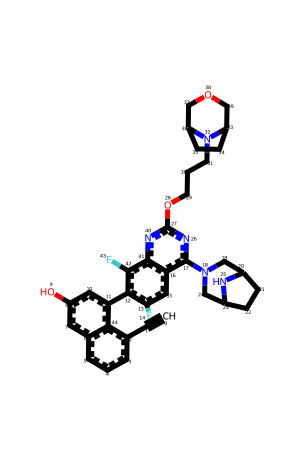 C#Cc1cccc2cc(O)cc(-c3c(F)cc4c(N5CC6CCC(C5)N6)nc(OCCCN5C6CCC5COC6)nc4c3F)c12